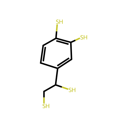 SCC(S)c1ccc(S)c(S)c1